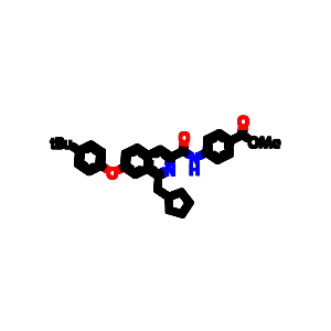 COC(=O)c1ccc(NC(=O)c2cc3ccc(Oc4ccc(C(C)(C)C)cc4)cc3c(CC3CCCC3)n2)cc1